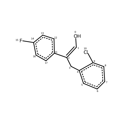 OC=C(Cc1ccccc1Cl)c1ccc(F)cc1